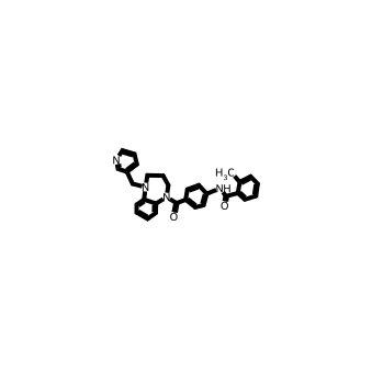 Cc1ccccc1C(=O)Nc1ccc(C(=O)N2CCCN(Cc3cccnc3)c3ccccc32)cc1